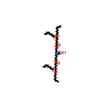 CC/C=C\CCCCOC(CCCCC(=O)OCCCCN(CCO)CCCCOC(=O)CCCCC(OCCCC/C=C\CC)OCCCC/C=C\CC)OCCCC/C=C\CC